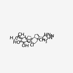 CN(C)[C@H]1C[C@@]23CC[C@]4(O2)C2CC=C(c5ccc6nn[nH]c6c5)[C@@]2(C)CCC4(Cl)C=C3[C@@H](O)[C@@H]1O